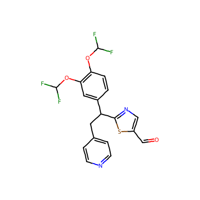 O=Cc1cnc(C(Cc2ccncc2)c2ccc(OC(F)F)c(OC(F)F)c2)s1